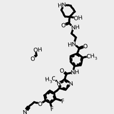 Cc1cc(NC(=O)c2ncc(-c3ccc(OCC#N)c(F)c3F)n2C)ccc1C(=O)NCCNC(=O)C1(O)CCNCC1.O=CO